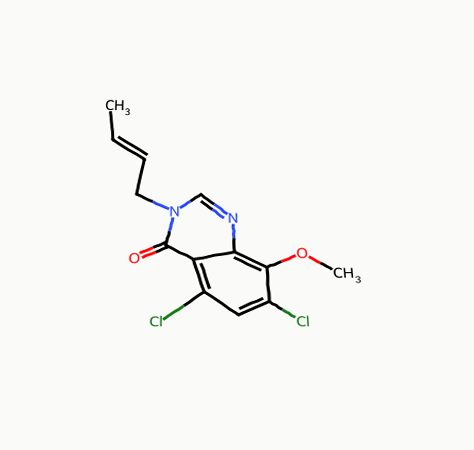 C/C=C/Cn1cnc2c(OC)c(Cl)cc(Cl)c2c1=O